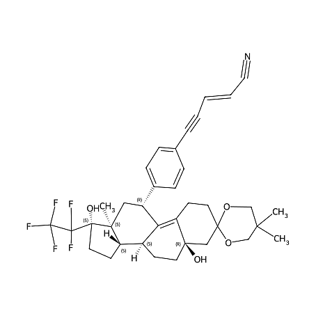 CC1(C)COC2(CCC3=C4[C@@H](CC[C@@]3(O)C2)[C@@H]2CC[C@@](O)(C(F)(F)C(F)(F)F)[C@@]2(C)C[C@@H]4c2ccc(C#CC=CC#N)cc2)OC1